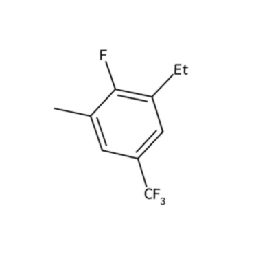 CCc1cc(C(F)(F)F)cc(C)c1F